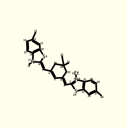 CC[n+]1c(/C=C2C=C(/C=C3\Sc4cc(C)ccc4N3C)CC(C)(C)C/2)sc2cc(C)ccc21